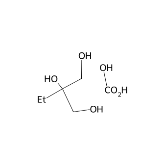 CCC(O)(CO)CO.O=C(O)O